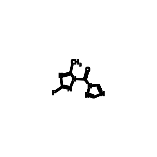 Cc1nc(F)nn1C(=O)n1cncn1